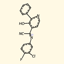 N#C/C(=N\c1ccc(F)c(Cl)c1)c1ccnc(-c2ccccc2)c1O